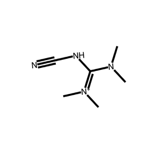 CN(C)C(NC#N)=[N+](C)C